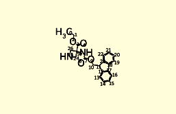 CCOC(=O)C1(NC(=O)OCC2c3ccccc3-c3ccccc32)CNC1